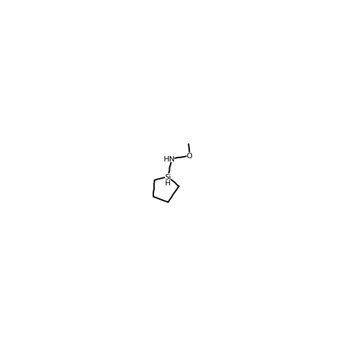 CON[SiH]1CCCC1